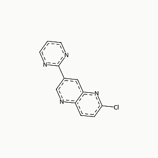 Clc1ccc2ncc(-c3ncccn3)cc2n1